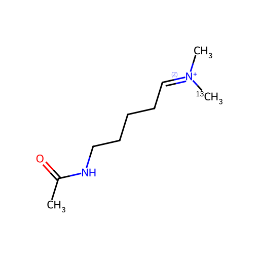 CC(=O)NCCCC/C=[N+](/C)[13CH3]